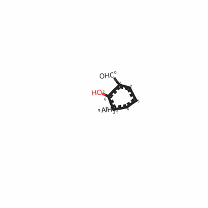 O=Cc1ccccc1O.[AlH3]